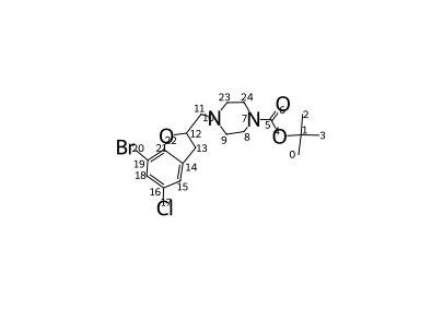 CC(C)(C)OC(=O)N1CCN(CC2Cc3cc(Cl)cc(Br)c3O2)CC1